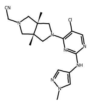 Cn1cc(Nc2ncc(Cl)c(N3C[C@]4(C)CN(CC#N)C[C@]4(C)C3)n2)cn1